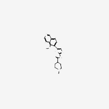 COc1c(-c2cnc(NC(=O)C3CCN(C)CC3)s2)ccc2cnccc12